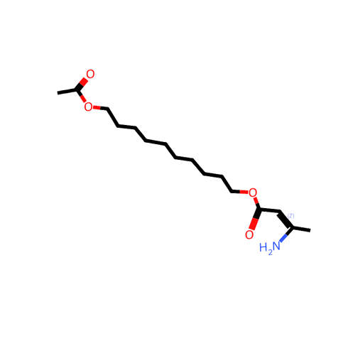 CC(=O)OCCCCCCCCCCOC(=O)/C=C(/C)N